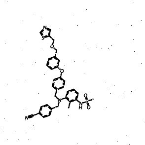 Cc1c(NS(C)(=O)=O)cccc1N(Cc1ccc(C#N)cc1)Cc1ccc(Oc2cccc(COCc3cncs3)c2)cc1